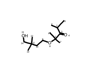 CC(C)C(=O)C(C)(C)OCCC(C)(C)CO